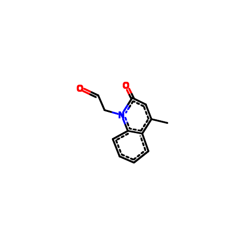 Cc1cc(=O)n(CC=O)c2ccccc12